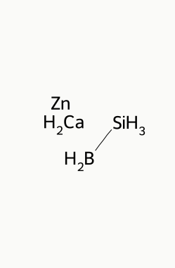 B[SiH3].[CaH2].[Zn]